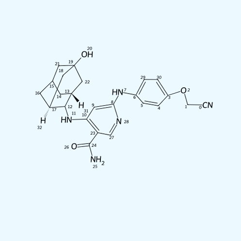 N#CCOc1ccc(Nc2cc(NC3[C@@H]4CC5C[C@H]3CC(O)(C5)C4)c(C(N)=O)cn2)cc1